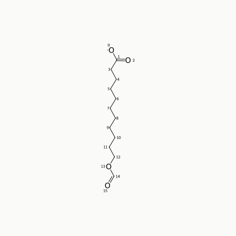 [O]C(=O)CCCCCCCCCCOC=O